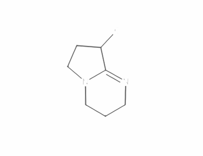 ClC1CCN2CCCN=C12